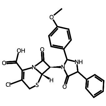 COc1ccc(C2NC(c3ccccc3)C(=O)N2[C@@H]2C(=O)N3C(C(=O)O)=C(Cl)CS[C@@H]23)cc1